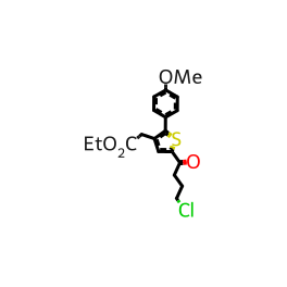 CCOC(=O)Cc1cc(C(=O)CCCCl)sc1-c1ccc(OC)cc1